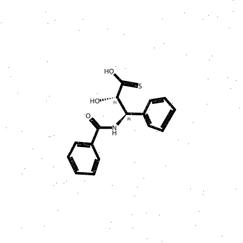 O=C(N[C@H](c1ccccc1)[C@H](O)C(O)=S)c1ccccc1